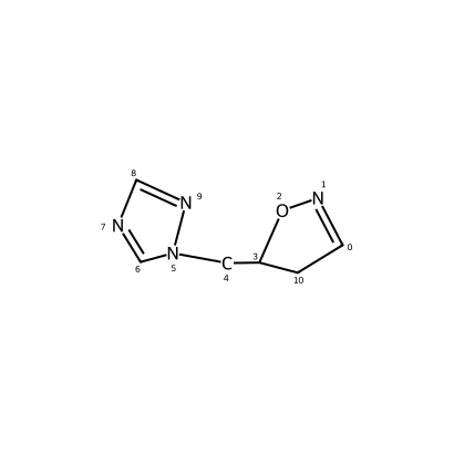 C1=NOC(Cn2cncn2)C1